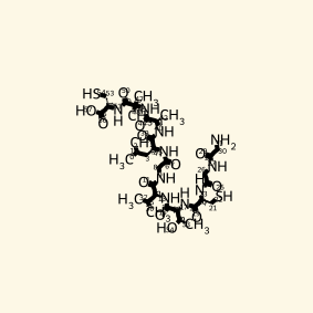 CC(C)C[C@H](NC(=O)CNC(=O)[C@@H](NC(=O)[C@@H](NC(=O)[C@H](CS)NC(=O)CNC(=O)CN)[C@@H](C)O)C(C)C)C(=O)N[C@@H](C)C(=O)NC(C)(C)C(=O)N[C@@H](CS)C(=O)O